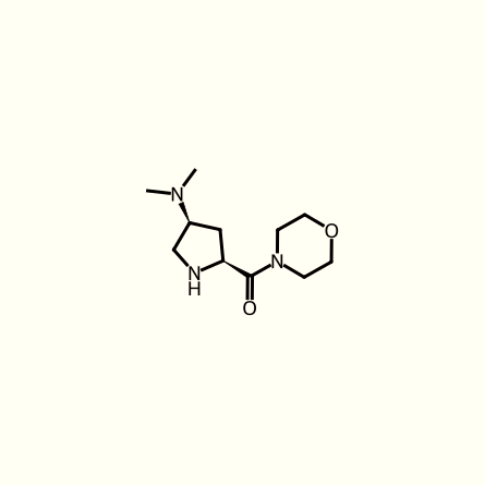 CN(C)[C@@H]1CN[C@H](C(=O)N2CCOCC2)C1